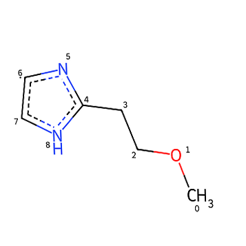 COCCc1n[c]c[nH]1